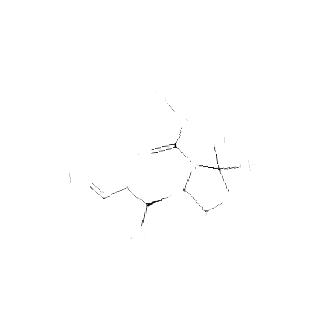 C=CCC(O)[C@@H]1COC(C)(C)N1C(=O)OC(C)(C)C